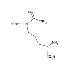 CCCCCN(CCC[C@H](N)C(=O)O)C(=N)N